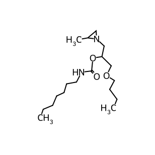 CCCCCCCNC(=O)OC(COCCCC)CN1CC1C